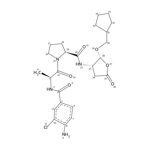 C[C@H](NC(=O)c1ccc(N)c(Cl)c1)C(=O)N1CCC[C@H]1C(=O)N[C@H]1CC(=O)O[C@H]1OCC1CCCC1